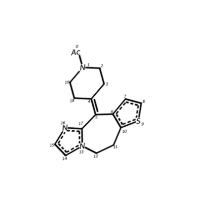 CC(=O)N1CCC(=C2c3ccsc3CCn3ccnc32)CC1